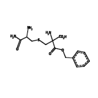 NC(=O)C(N)CSCC(N)(C(=O)O)C(=O)OCc1ccccc1